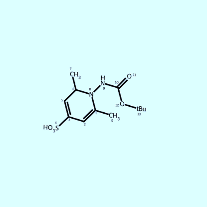 CC1=CC(S(=O)(=O)O)=CC(C)N1NC(=O)OC(C)(C)C